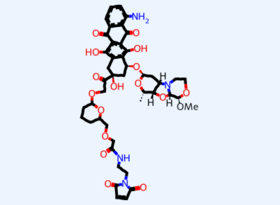 CO[C@H]1OCCN2[C@@H]1O[C@@H]1[C@H](C)O[C@@H](O[C@H]3C[C@](O)(C(=O)COC4CCCC(COCC(=O)NCCN5C(=O)C=CC5=O)O4)Cc4c(O)c5c(c(O)c43)C(=O)c3c(N)cccc3C5=O)C[C@@H]12